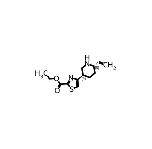 C=C[C@@H]1CC[C@@H](c2csc(C(=O)OCC)n2)CN1